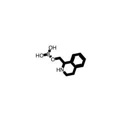 OB(O)OCC1NCCc2ccccc21